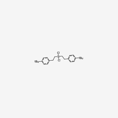 CC(C)(C)c1ccc(CC[Si](Cl)(Cl)CCc2ccc(C(C)(C)C)cc2)cc1